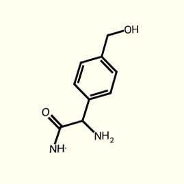 [NH]C(=O)C(N)c1ccc(CO)cc1